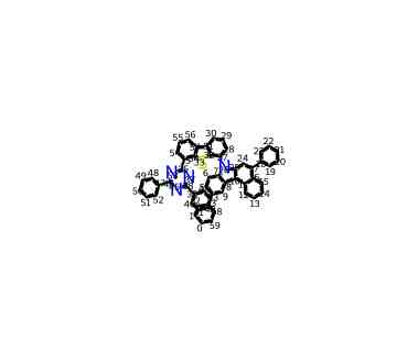 c1ccc(-c2ccc3c(c2)c2c4ccccc4c(-c4ccccc4)cc2n3-c2cccc3c2sc2c(-c4nc(-c5ccccc5)nc(-c5ccccc5)n4)cccc23)cc1